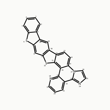 c1ccc2c(c1)sc1cc3sc4c(ccc5c4c4ncccc4c4nccn54)c3cc12